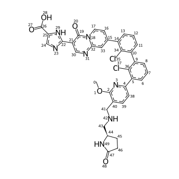 COc1nc(-c2cccc(-c3cccc(-c4ccn5c(=O)c(-c6ncc(C(=O)O)[nH]6)cnc5c4)c3Cl)c2Cl)ccc1CNC[C@H]1CCC(=O)N1